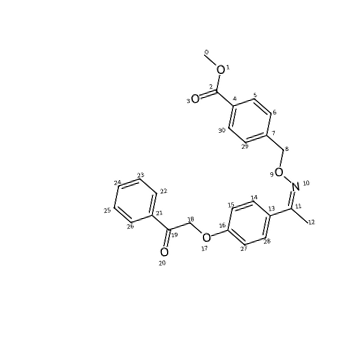 COC(=O)c1ccc(CON=C(C)c2ccc(OCC(=O)c3ccccc3)cc2)cc1